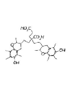 Cc1c(C)c2c(c(C)c1O)CC(CCC(CCC(=O)O)(CCC1Cc3c(C)c(O)c(C)c(C)c3OC1C)C(=O)O)C(C)O2